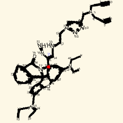 C#CCN(CC#C)Cc1cn(CCN/C=C(/CN2C(=O)c3ccccc3C23c2ccc(N(CC)CC)cc2Oc2cc(N(CC)CC)ccc23)N=N)nn1